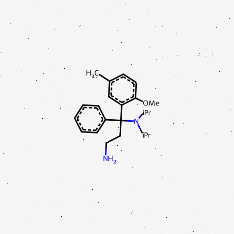 COc1ccc(C)cc1C(CCN)(c1ccccc1)N(C(C)C)C(C)C